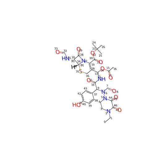 CCN1CCN(N(C=O)C(C(=O)NC(OC(C)=O)C2=C(C(=O)OC(C)(C)C)N3C(=O)[C@@H](NC=O)[C@H]3SC2)c2ccc(O)cc2)C(=O)C1=O